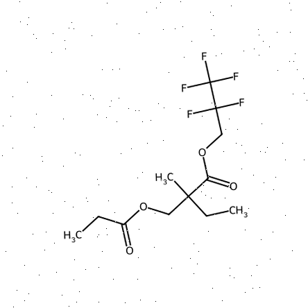 CCC(=O)OCC(C)(CC)C(=O)OCC(F)(F)C(F)(F)F